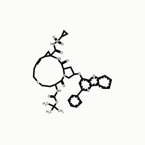 CC(C)(C)OC(=O)NC1CCCCCC=CC2CC2(C(=O)NS(=O)(=O)C2CC2)NC(=O)C2CC(Oc3cc(-c4ccccc4)nc4c3oc3ccccc34)CN2C1=O